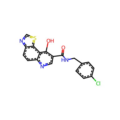 O=C(NCc1ccc(Cl)cc1)c1cnc2ccc3ncsc3c2c1O